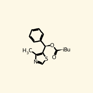 CC[C@H](C)C(=O)O[C@H](c1ccccc1)c1scnc1C